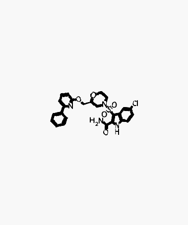 NC(=O)c1[nH]c2ccc(Cl)cc2c1S(=O)(=O)N1CCO[C@H](COc2cccc(-c3ccccc3)n2)C1